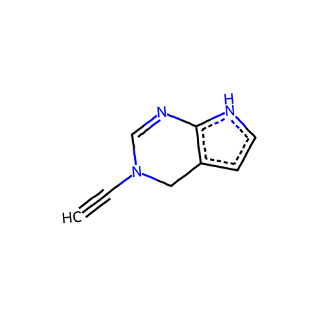 C#CN1C=Nc2[nH]ccc2C1